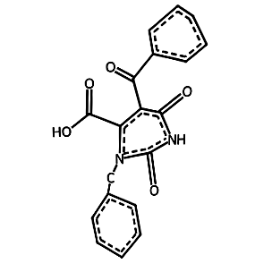 O=C(c1ccccc1)c1c(C(=O)O)n(Cc2ccccc2)c(=O)[nH]c1=O